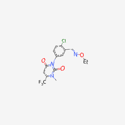 CCON=Cc1cc(-n2c(=O)cc(C(F)(F)F)n(C)c2=O)ccc1Cl